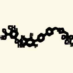 Cc1ccc(Oc2nc3c(F)c(-c4ccc(-c5ccc(CN6CC(CS(C)(=O)=O)C6)cc5)cc4)c(F)cc3[nH]2)cc1C(=O)O